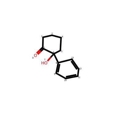 O=C1CCCCC1(O)c1ccccc1